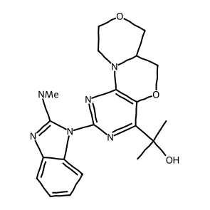 CNc1nc2ccccc2n1-c1nc2c(c(C(C)(C)O)n1)OCC1COCCN21